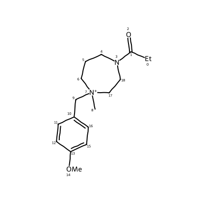 CCC(=O)N1CCC[N+](C)(Cc2ccc(OC)cc2)CC1